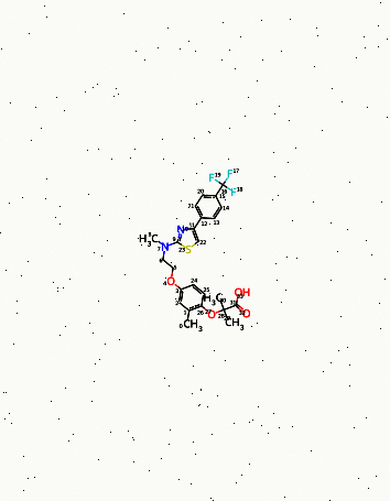 Cc1cc(OCCN(C)c2nc(-c3ccc(C(F)(F)F)cc3)cs2)ccc1OC(C)(C)C(=O)O